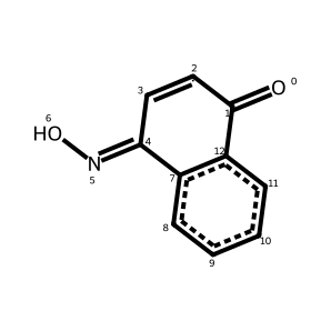 O=C1[C]=CC(=NO)c2ccccc21